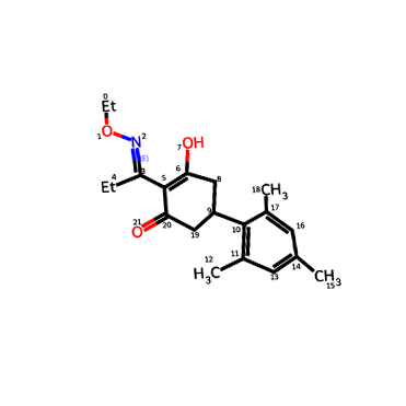 CCO/N=C(\CC)C1=C(O)CC(c2c(C)cc(C)cc2C)CC1=O